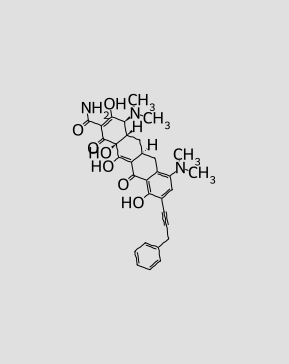 CN(C)c1cc(C#CCc2ccccc2)c(O)c2c1C[C@@H]1C[C@H]3[C@H](N(C)C)C(O)=C(C(N)=O)C(=O)[C@@]3(O)C(O)=C1C2=O